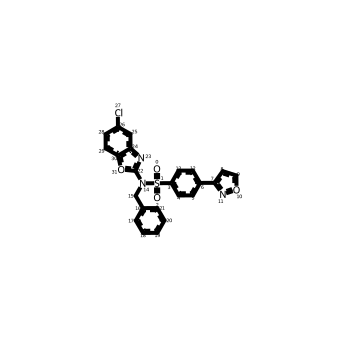 O=S(=O)(c1ccc(-c2ccon2)cc1)N(Cc1ccccc1)c1nc2cc(Cl)ccc2o1